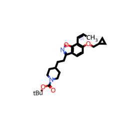 C/C=C\c1c(OCC2CC2)ccc2c(CCC3CCN(C(=O)OC(C)(C)C)CC3)noc12